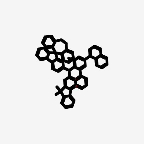 Cc1cc(-c2cccc3ccccc23)cc(-c2ccccc2)c1N(c1ccc2c(c1)C(C)(C)c1ccccc1-2)c1ccc2c(c1)C1(c3ccccc3CCc3ccccc31)c1ccccc1-2